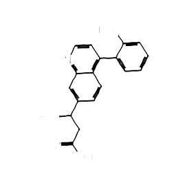 Cc1ccccc1-c1ccnc2cc(C(C)CC(=O)O)ccc12